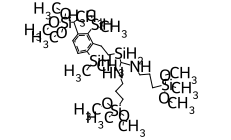 CO[Si](C)(CCCNC(NCCC[Si](C)(OC)OC)[SiH2]CCc1c([SiH](C)C)ccc(C(C)[Si](OC)(OC)OC)c1[SiH](C)C)OC